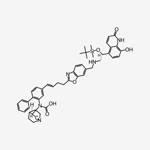 CC(C)(C)[Si](C)(C)O[C@@H](CNCc1ccc2nc(CCC=Cc3ccc(-c4ccccc4)c(N(C(=O)O)[C@H]4CN5CCC4CC5)c3)oc2c1)c1ccc(O)c2[nH]c(=O)ccc12